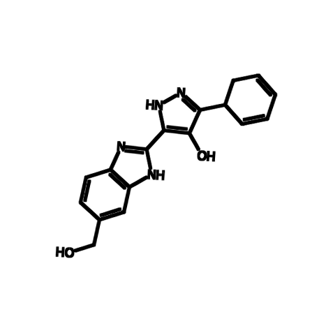 OCc1ccc2nc(-c3[nH]nc(C4C=CC=CC4)c3O)[nH]c2c1